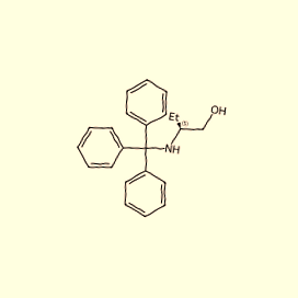 CC[C@@H](CO)NC(c1ccccc1)(c1ccccc1)c1ccccc1